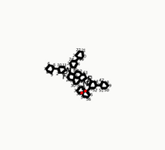 Fc1cc(-c2ccccc2)ccc1N(c1ccc(-c2ccccc2)cc1)c1ccc2ccc3c(N(c4ccccc4)c4c(F)cc(-c5ccccc5)cc4-c4ccccc4)ccc4ccc1c2c43